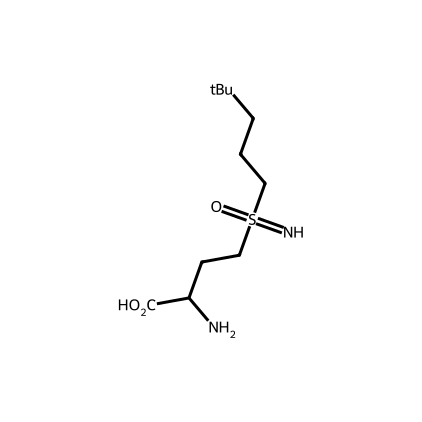 CC(C)(C)CCCS(=N)(=O)CCC(N)C(=O)O